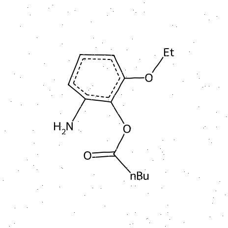 CCCCC(=O)Oc1c(N)cccc1OCC